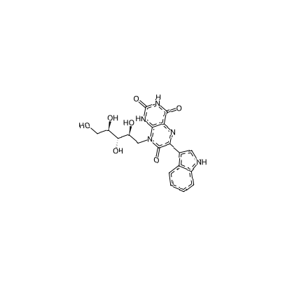 O=c1[nH]c(=O)c2nc(-c3c[nH]c4ccccc34)c(=O)n(C[C@H](O)[C@H](O)[C@H](O)CO)c2[nH]1